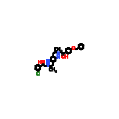 C[C@H](Cc1ccc(C[C@@H](C)NC[C@H](O)c2cccc(Cl)c2)cc1)NC[C@H](O)c1ccc(OCc2ccccc2)cc1